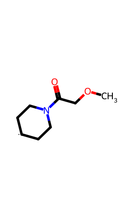 COCC(=O)N1CC[CH]CC1